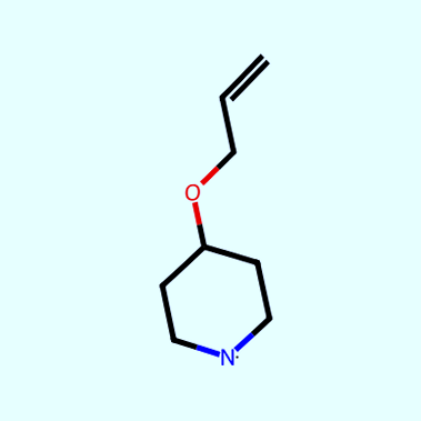 C=CCOC1CC[N]CC1